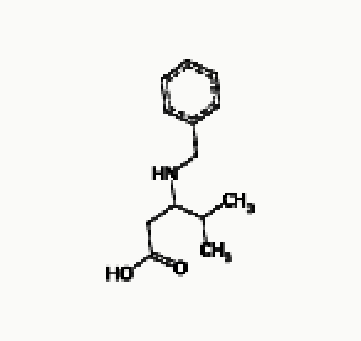 CC(C)C(CC(=O)O)NCc1ccccc1